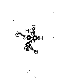 COCCCN1CCOc2ccc(CO[C@H]3CNC[C@@H](OC[C@@H](O)COC)[C@@H]3c3ccc(OCCC[C@@H](C)OC)cc3)cc21